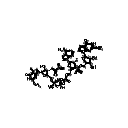 CN(C)C(=O)C[C@H]1[C@@H](O)[C@H](n2c[n+](C)c3c(=O)[nH]c(N)nc32)O[C@@H]1COP(=O)(O)OP(=O)(O)OP(=O)(O)OC[C@H]1O[C@@H](n2cnc3c(N)ncnc32)[C@H](F)[C@@H]1P(=O)([O-])OC[C@H]1O[C@@H](n2cnc3c(=O)[nH]c(N)nc32)[C@H](O)[C@@H]1O